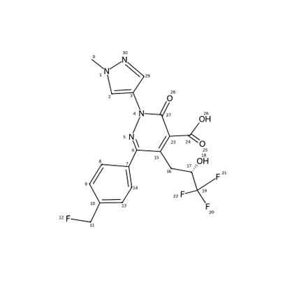 Cn1cc(-n2nc(-c3ccc(CF)cc3)c(C[C@H](O)C(F)(F)F)c(C(=O)O)c2=O)cn1